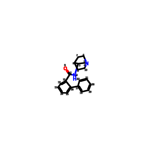 O=C(NC1CN2CCC1CC2)c1ccccc1-c1ccccc1